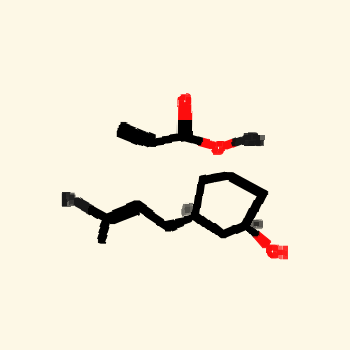 C=CC(=O)OC(C)(C)C.CCC(C)=CC[C@H]1CCC[C@@H](O)C1